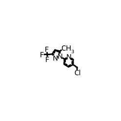 Cc1cc(C(F)(F)F)nn1-c1ccc(CCl)cn1